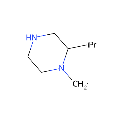 [CH2]N1CCNCC1C(C)C